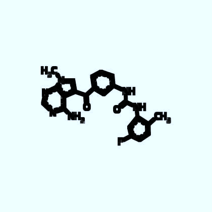 Cc1ccc(F)cc1NC(=O)Nc1cccc(C(=O)c2cn(C)c3ncnc(N)c23)c1